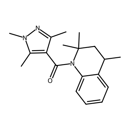 Cc1nn(C)c(C)c1C(=O)N1c2ccccc2C(C)CC1(C)C